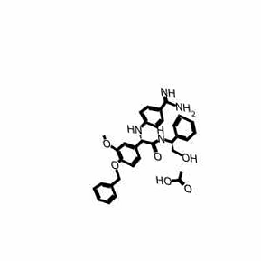 CC(=O)O.COc1cc([C@H](Nc2ccc(C(=N)N)cc2)C(=O)N[C@H](CO)c2ccccc2)ccc1OCc1ccccc1